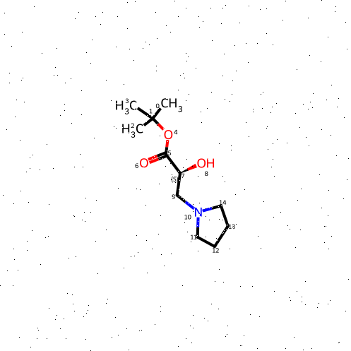 CC(C)(C)OC(=O)[C@@H](O)CN1CCCC1